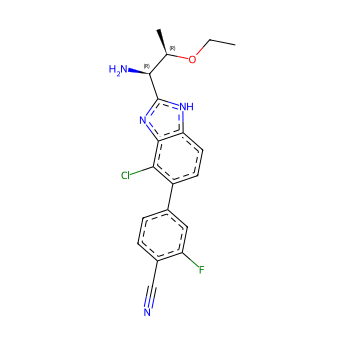 CCO[C@H](C)[C@H](N)c1nc2c(Cl)c(-c3ccc(C#N)c(F)c3)ccc2[nH]1